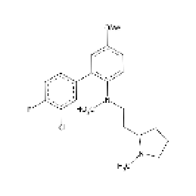 COc1ccc(N(CCC2CCCN2C)C(=O)O)c(-c2ccc(F)c(Cl)c2)c1